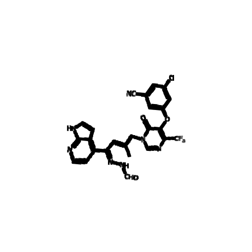 C/C(=C\C(=N/NC=O)c1ccnc2[nH]ccc12)Cn1cnc(C(F)(F)F)c(Oc2cc(Cl)cc(C#N)c2)c1=O